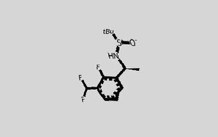 C[C@H](N[S+]([O-])C(C)(C)C)c1cccc(C(F)F)c1F